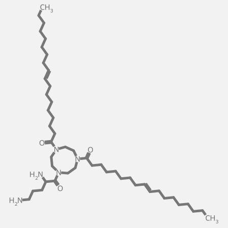 CCCCCCCCC=CCCCCCCCC(=O)N1CCN(C(=O)CCCCCCCC=CCCCCCCCC)CCN(C(=O)C(N)CCCN)CC1